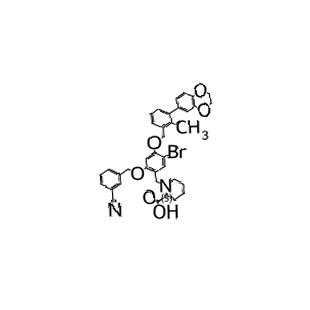 Cc1c(COc2cc(OCc3cccc(C#N)c3)c(CN3CCCC[C@H]3C(=O)O)cc2Br)cccc1-c1ccc2c(c1)OCCO2